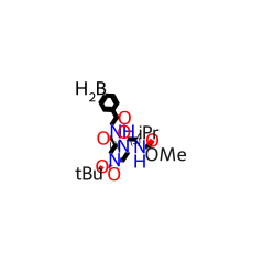 Bc1ccc(C(=O)CNC(=O)[C@@H]2CN(C(=O)OC(C)(C)C)CCN2C(=O)[C@@H](NC(=O)OC)C(C)C)cc1